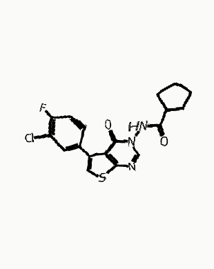 O=C(Nn1cnc2scc(-c3ccc(F)c(Cl)c3)c2c1=O)C1CCCC1